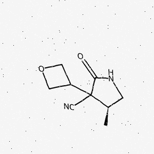 C[C@@H]1CNC(=O)C1(C#N)C1COC1